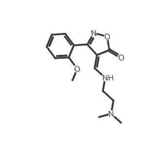 COc1ccccc1C1=NOC(=O)/C1=C\NCCN(C)C